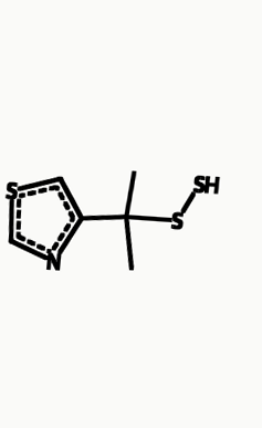 CC(C)(SS)c1cscn1